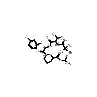 CC(C)OC(=O)C1CCCN(C(=O)[C@H](Cc2cccc(O)c2)NC(=O)C(NC(=O)C(C)(C)C)C(C)C)N1